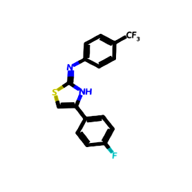 Fc1ccc(-c2csc(=Nc3ccc(C(F)(F)F)cc3)[nH]2)cc1